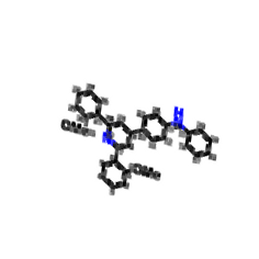 COc1ccccc1-c1cc(-c2ccc(Nc3ccccc3)cc2)cc(-c2ccccc2OC)n1